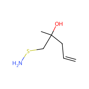 C=CCC(C)(O)CSN